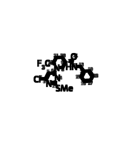 CSc1nc(Cl)cc(N2C[C@@H](C(=O)NCc3ccccc3)CC[C@H]2C(F)(F)F)n1